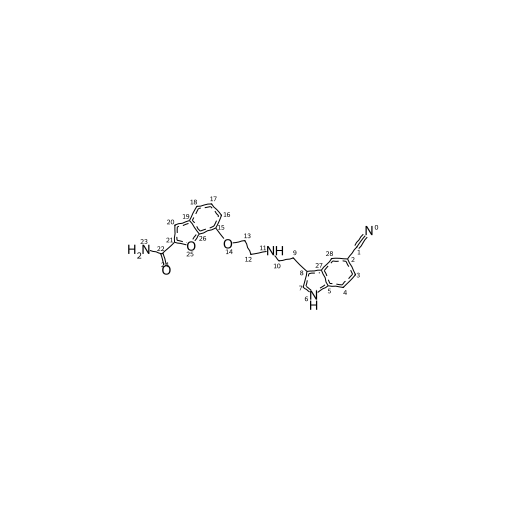 N#Cc1ccc2[nH]cc(CCNCCOc3cccc4cc(C(N)=O)oc34)c2c1